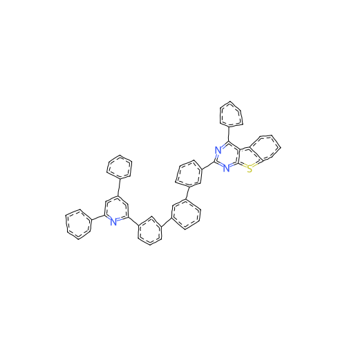 c1ccc(-c2cc(-c3ccccc3)nc(-c3cccc(-c4cccc(-c5cccc(-c6nc(-c7ccccc7)c7c(n6)sc6ccccc67)c5)c4)c3)c2)cc1